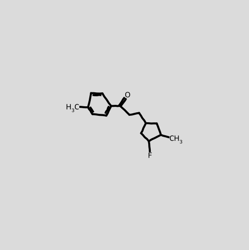 Cc1ccc(C(=O)CCC2CC(C)C(F)C2)cc1